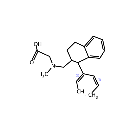 C/C=C\C(=C/C)C1c2ccccc2CCC1CN(C)CC(=O)O